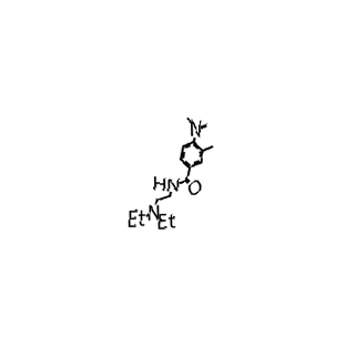 CCN(CC)CCNC(=O)c1ccc(N(C)C)c(C)c1